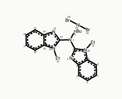 CCCCN(c1nc2ccccc2n1CC)c1nc2ccccc2n1CC.[Br][Ni][Br]